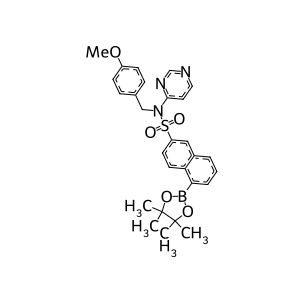 COc1ccc(CN(c2ccncn2)S(=O)(=O)c2ccc3c(B4OC(C)(C)C(C)(C)O4)cccc3c2)cc1